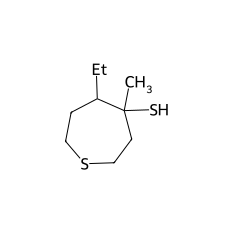 CCC1CCSCCC1(C)S